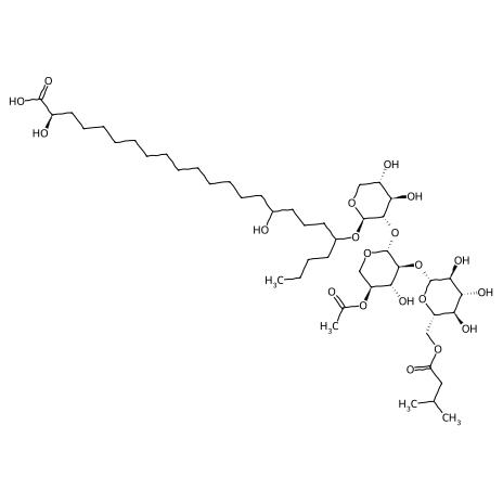 CCCCC(CCCC(O)CCCCCCCCCCCCC[C@@H](O)C(=O)O)O[C@H]1OC[C@H](O)[C@@H](O)[C@@H]1O[C@H]1OC[C@H](OC(C)=O)[C@@H](O)[C@@H]1O[C@H]1O[C@@H](COC(=O)CC(C)C)[C@H](O)[C@@H](O)[C@@H]1O